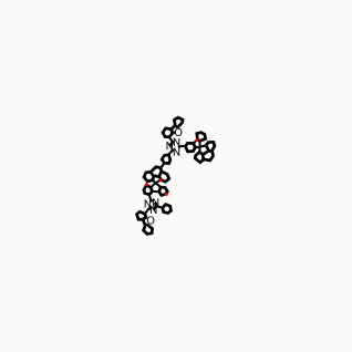 c1ccc(-c2nc(-c3cccc4c3-c3ccccc3C43c4cccc5cc(-c6ccc(-c7nc(-c8ccc9c(c8)-c8ccccc8C98c9cccc%10ccc%11cccc8c%11c9%10)nc(-c8cccc9c8oc8ccccc89)n7)cc6)c6cccc3c6c45)nc(-c3cccc4c3oc3ccccc34)n2)cc1